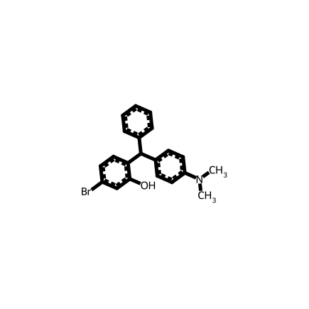 CN(C)c1ccc(C(c2ccccc2)c2ccc(Br)cc2O)cc1